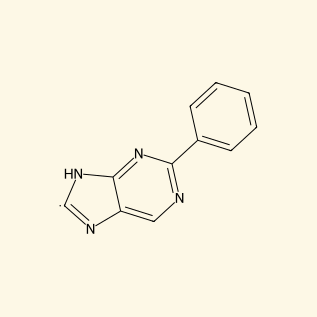 [c]1nc2cnc(-c3ccccc3)nc2[nH]1